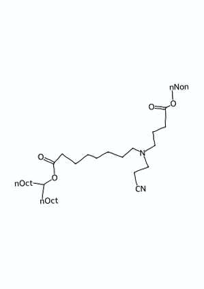 CCCCCCCCCOC(=O)CCCN(CCC#N)CCCCCCCC(=O)OC(CCCCCCCC)CCCCCCCC